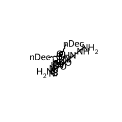 CCCCCCCCCCCCCCCCOP(=O)(CCCN[C@@H](CCC(=O)NCCCNCCCCNCCCN)C(=O)NCCCn1c(COCC)nc2c(N)nc3ccccc3c21)OCCCCCCCCCCCCCCCC